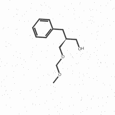 COCOC[C@H](CO)Cc1ccccc1